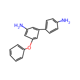 Nc1ccc(-c2cc(N)cc(Oc3ccccc3)c2)cc1